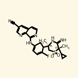 C[C@@]1(C2CC(Nc3nccc4cc(C#N)cnc34)=CC=C2F)CS(=O)(=O)[C@@](C)(C2CC2)C(=N)N1